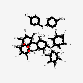 CC(C)(C)c1ccc([I+]c2ccc(C(C)(C)C)cc2)cc1.O=C([O-])c1cc(Oc2c(F)c(F)c(F)c(F)c2F)c(Oc2c(F)c(F)c(F)c(F)c2F)c(Oc2c(F)c(F)c(F)c(F)c2F)c1-c1c(F)c(F)c(F)c(F)c1F